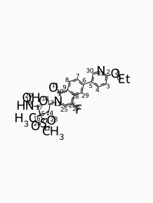 CCOc1ccc(-c2ccc3c(=O)n(CCC(C)(C(=O)NO)S(C)(=O)=O)cc(F)c3c2)cn1